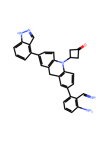 N=Cc1c(N)cccc1-c1ccc2c(c1)Cc1cc(-c3cccc4[nH]ncc34)ccc1N2C1CC(=O)C1